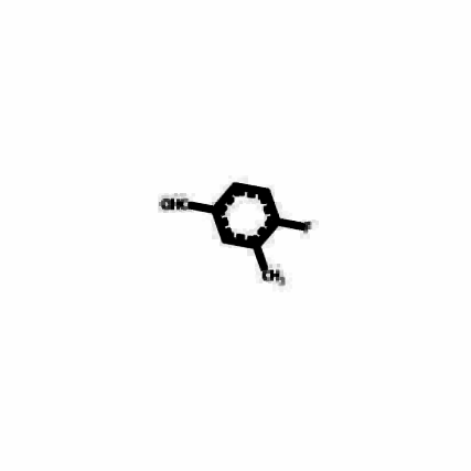 Cc1cc([C]=O)ccc1F